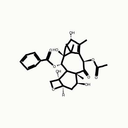 CC(=O)O[C@H]1C(=O)[C@@]2(C)C([C@H](OC(=O)c3ccccc3)[C@]3(O)C[C@H](O)C(C)=C1C3(C)C)[C@]1(O)CO[C@@H]1C[C@@H]2O